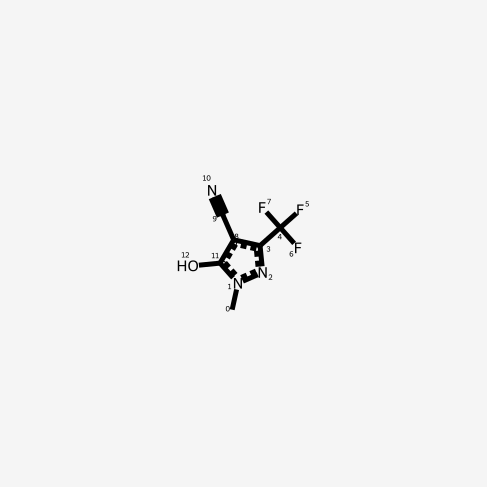 Cn1nc(C(F)(F)F)c(C#N)c1O